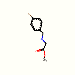 COC(=O)CNCc1ccc(Br)cc1